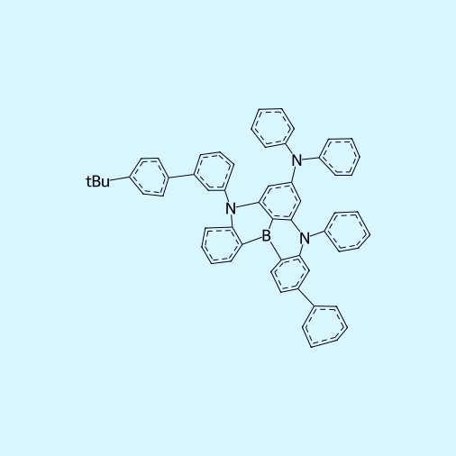 CC(C)(C)c1ccc(-c2cccc(N3c4ccccc4B4c5ccc(-c6ccccc6)cc5N(c5ccccc5)c5cc(N(c6ccccc6)c6ccccc6)cc3c54)c2)cc1